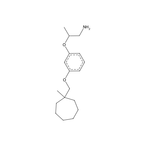 CC(CN)Oc1cccc(OCC2(C)CCCCCC2)c1